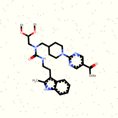 CCOC(CN(CC1CCN(c2ncc(C(=O)OC)cn2)CC1)C(=O)NCCc1c(C)[nH]c2ccccc12)OCC